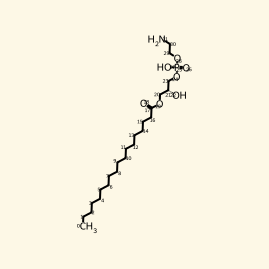 CCCCCCCCCCCCCCCCCC(=O)OC[C@@H](O)COP(=O)(O)OCCN